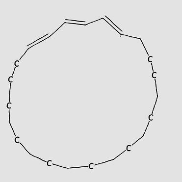 [C]1=C/C=C/C=C/CCCCCCCCCCCCCCCCC/1